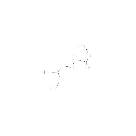 CCCOC(C)OOOC(C)OCCC